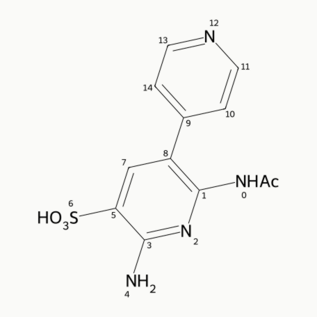 CC(=O)Nc1nc(N)c(S(=O)(=O)O)cc1-c1ccncc1